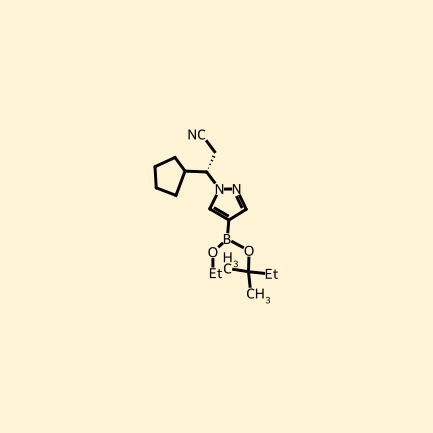 CCOB(OC(C)(C)CC)c1cnn([C@@H](CC#N)C2CCCC2)c1